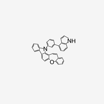 C1=Cc2c(cccc2-c2cccc(-n3c4ccccc4c4ccc5c(c43)C=Cc3ccccc3O5)c2)NC1